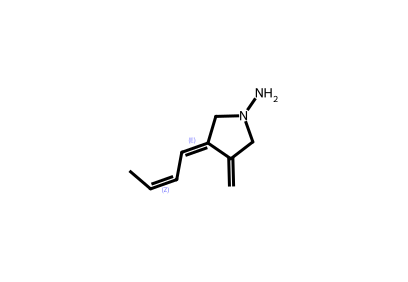 C=C1CN(N)C/C1=C/C=C\C